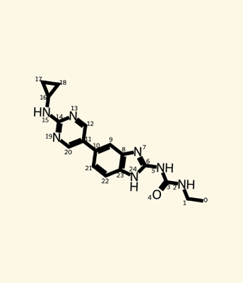 CCNC(=O)Nc1nc2cc(-c3cnc(NC4CC4)nc3)ccc2[nH]1